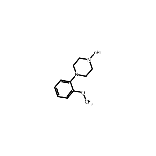 [CH2]CCN1CCN(c2ccccc2OC(F)(F)F)CC1